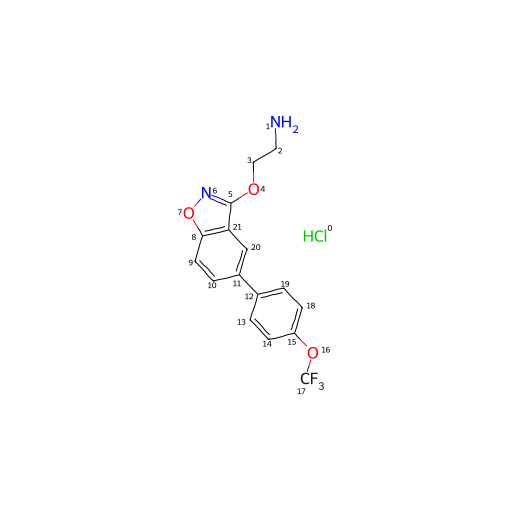 Cl.NCCOc1noc2ccc(-c3ccc(OC(F)(F)F)cc3)cc12